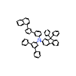 c1ccc(-c2cc(-c3ccccc3)cc(N(c3cccc(-c4cccc(-c5cccc6ccccc56)c4)c3)c3ccc4c(c3)C(c3ccccc3)(c3ccccc3)c3ccccc3-4)c2)cc1